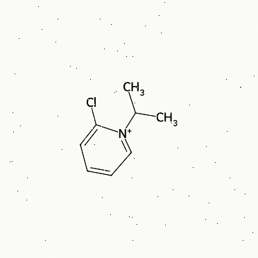 CC(C)[n+]1ccccc1Cl